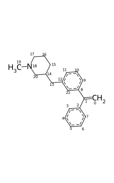 C=C(c1ccccc1)c1cccc(CC2CCCN(C)C2)c1